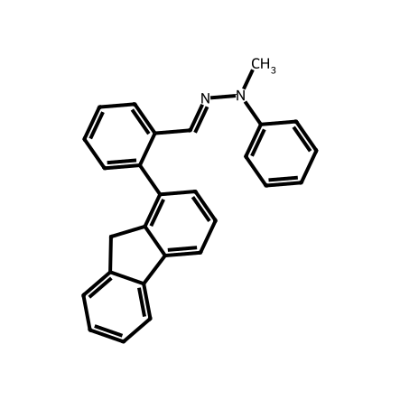 CN(N=Cc1ccccc1-c1cccc2c1Cc1ccccc1-2)c1ccccc1